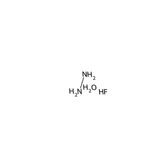 F.NN.O